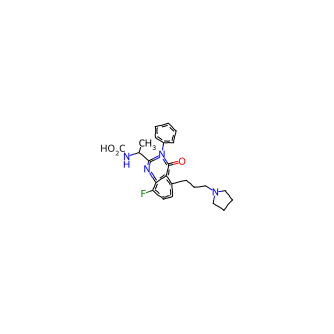 CC(NC(=O)O)c1nc2c(F)ccc(CCCN3CCCC3)c2c(=O)n1-c1ccccc1